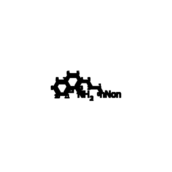 CCCCCCCCCCCCc1ccc2ccccc2c1N